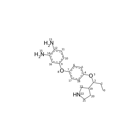 CCC(Oc1ccc(Oc2ccc(N)c(N)c2)cc1)C1CCNC1